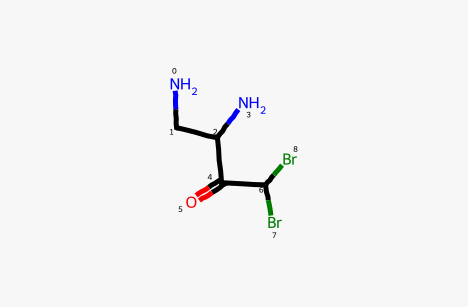 NCC(N)C(=O)C(Br)Br